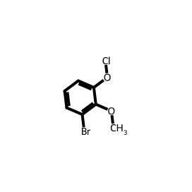 COc1c(Br)cccc1OCl